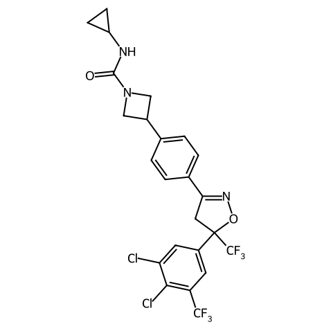 O=C(NC1CC1)N1CC(c2ccc(C3=NOC(c4cc(Cl)c(Cl)c(C(F)(F)F)c4)(C(F)(F)F)C3)cc2)C1